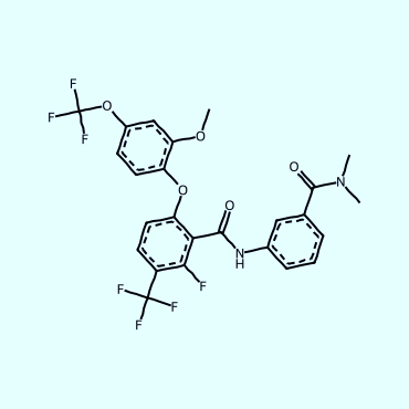 COc1cc(OC(F)(F)F)ccc1Oc1ccc(C(F)(F)F)c(F)c1C(=O)Nc1cccc(C(=O)N(C)C)c1